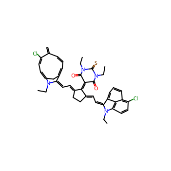 C=C1\C=C/C=C2\C/C(=C\C=C/1Cl)N(CC)\C2=C\C=C1/CC/C(=C\C=c2/c3cccc4c(Cl)ccc(c43)n2CC)C1=C1C(=O)N(CC)C(=S)N(CC)C1=O